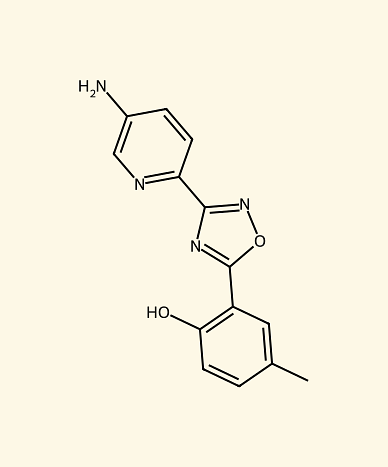 Cc1ccc(O)c(-c2nc(-c3ccc(N)cn3)no2)c1